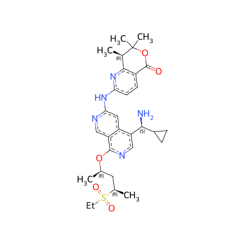 CCS(=O)(=O)[C@H](C)C[C@@H](C)Oc1ncc([C@@H](N)C2CC2)c2cc(Nc3ccc4c(n3)[C@@H](C)C(C)(C)OC4=O)ncc12